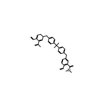 C=CC1=CCC(Cc2ccc(C(C)(C)c3ccc(Cc4ccc(C=C)c(C(=C)N(C)C)c4)cc3)cc2)C=C1C(=C)C